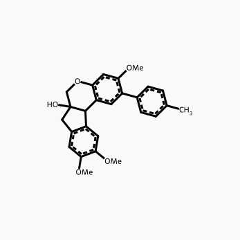 COc1cc2c(cc1OC)C1c3cc(-c4ccc(C)cc4)c(OC)cc3OCC1(O)C2